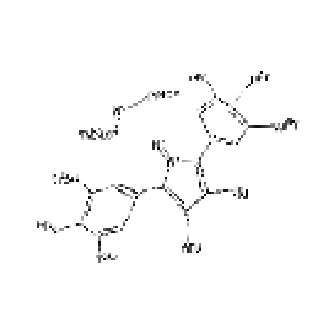 CCCCC1=C(c2cc(CCC)c(CCC)c(CCC)c2)[N+](=[N-])C(c2cc(CCCC)c(CCCC)c(CCCC)c2)=C1CCCC.CCCCCCCC[CH2][Ni][CH2]CCCCCCCC